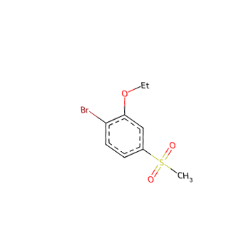 CCOc1cc(S(C)(=O)=O)ccc1Br